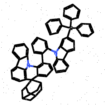 c1ccc([Si](c2ccccc2)(c2ccccc2)c2ccc3c4ccccc4n(-c4ccccc4-c4cccc5c4-n4c6ccccc6c6cccc(c64)C54C5CC6CC(C5)CC4C6)c3c2)cc1